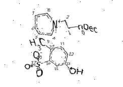 CCCCCCCCCCCC[n+]1ccccc1.Cc1ccc(O)cc1S(=O)(=O)[O-]